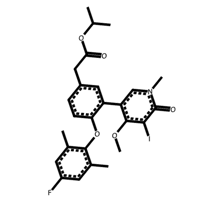 COc1c(-c2cc(CC(=O)OC(C)C)ccc2Oc2c(C)cc(F)cc2C)cn(C)c(=O)c1I